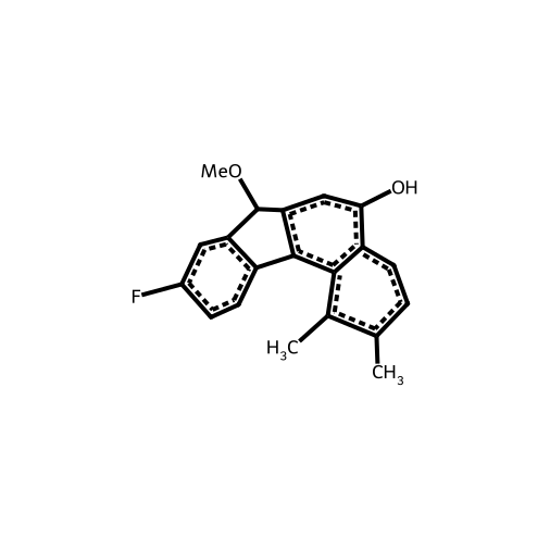 COC1c2cc(F)ccc2-c2c1cc(O)c1ccc(C)c(C)c21